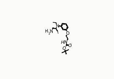 CCN(c1cccc(OCCNC(=O)OC(C)(C)C)c1)C(I)CN